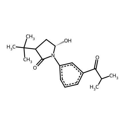 CC(C)C(=O)c1cccc(N2C(=O)C(C(C)(C)C)C[C@@H]2O)c1